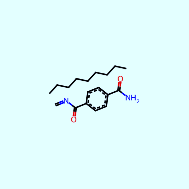 C=NC(=O)c1ccc(C(N)=O)cc1.CCCCCCCCC